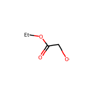 [CH2]COC(=O)C[O]